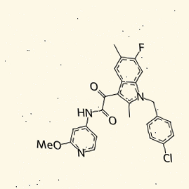 COc1cc(NC(=O)C(=O)c2c(C)n(Cc3ccc(Cl)cc3)c3cc(F)c(C)cc23)ccn1